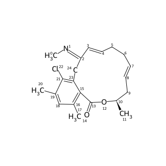 C/N=C1/C=C/CC/C=C/C[C@@H](C)OC(=O)c2c(C)cc(C)c(Cl)c2C1